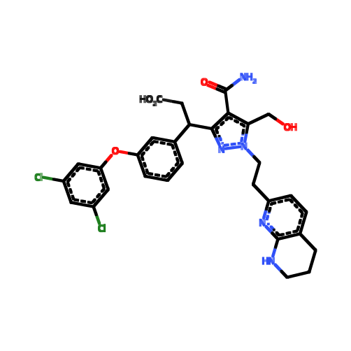 NC(=O)c1c(C(CC(=O)O)c2cccc(Oc3cc(Cl)cc(Cl)c3)c2)nn(CCc2ccc3c(n2)NCCC3)c1CO